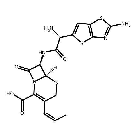 C/C=C\C1=C(C(=O)O)N2C(=O)[C@@H](NC(=O)[C@H](N)c3cc4sc(N)nc4s3)[C@H]2SC1